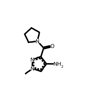 Cn1cc(N)c(C(=O)N2CCCC2)n1